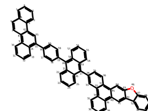 c1ccc2c(c1)ccc1c3ccccc3c(-c3ccc(-c4c5ccccc5c(-c5ccc6c(c5)c5ccccc5c5cc7c(cc65)oc5ccccc57)c5ccccc45)cc3)cc21